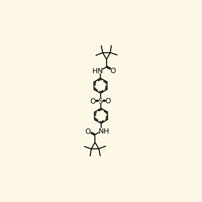 CC1(C)C(C(=O)Nc2ccc(S(=O)(=O)c3ccc(NC(=O)C4C(C)(C)C4(C)C)cc3)cc2)C1(C)C